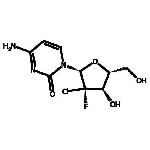 Nc1ccn([C@@H]2O[C@H](CO)[C@@H](O)[C@@]2(F)Cl)c(=O)n1